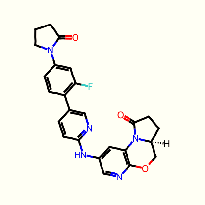 O=C1CCCN1c1ccc(-c2ccc(Nc3cnc4c(c3)N3C(=O)CC[C@H]3CO4)nc2)c(F)c1